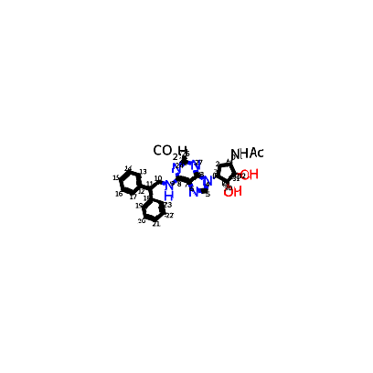 CC(=O)N[C@H]1C[C@@H](n2cnc3c(NCC(c4ccccc4)c4ccccc4)nc(C(=O)O)nc32)[C@H](O)[C@@H]1O